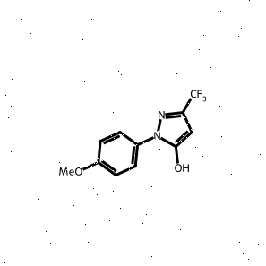 COc1ccc(-n2nc(C(F)(F)F)cc2O)cc1